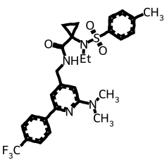 CCN(C1(C(=O)NCc2cc(-c3ccc(C(F)(F)F)cc3)nc(N(C)C)c2)CC1)S(=O)(=O)c1ccc(C)cc1